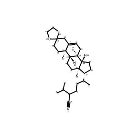 CC(C)C(C#N)CCC(C)[C@H]1CC[C@H]2[C@@H]3CC=C4CC5(CC[C@]4(C)[C@H]3CC[C@]12C)OCCO5